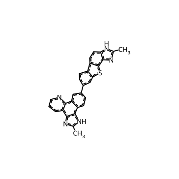 Cc1nc2c(ccc3c4ccc(-c5ccc6c(c5)c5ncccc5c5nc(C)[nH]c65)cc4sc32)[nH]1